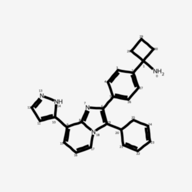 NC1(c2ccc(-c3nc4c(-c5ccn[nH]5)cccn4c3C3C=CC=CC3)cc2)CCC1